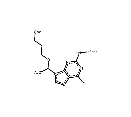 CCCCCNc1nc(Cl)c2ncn(C(OCCCOC(C)=O)OC(C)=O)c2n1